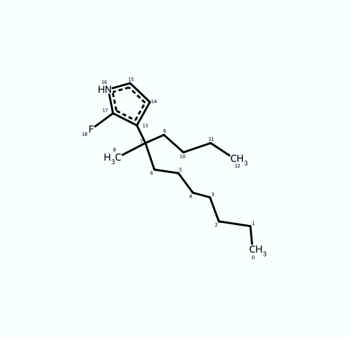 CCCCCCCC(C)(CCCC)c1cc[nH]c1F